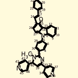 CN1C(c2ccc(-n3c4ccccc4c4c5oc(-c6ccccc6)cc5ccc43)cc2)=NC(c2ccncc2)=CC1c1ccncc1